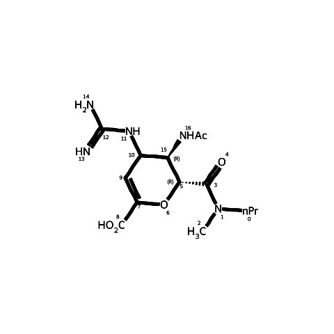 CCCN(C)C(=O)[C@@H]1OC(C(=O)O)=CC(NC(=N)N)[C@H]1NC(C)=O